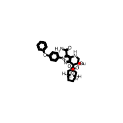 CC(C)(C)OC(=O)N1[C@@H]2CC[C@H]1CN(C1CCNc3c1nn(-c1ccc(Oc4ccccc4)cc1)c3C(N)=O)C2